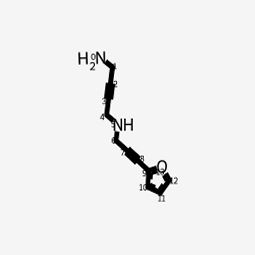 NCC#CCNCC#Cc1ccco1